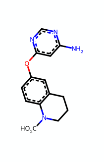 Nc1cc(Oc2ccc3c(c2)CCCN3C(=O)O)ncn1